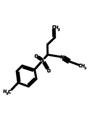 C=CCC([N+]#CC)S(=O)(=O)c1ccc(C)cc1